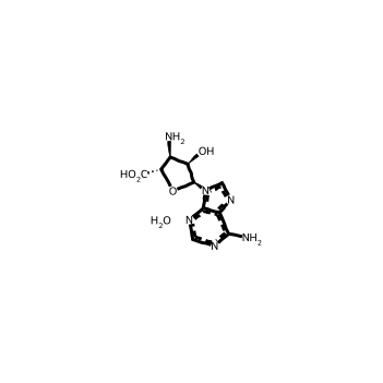 Nc1ncnc2c1ncn2[C@H]1O[C@H](C(=O)O)[C@@H](N)[C@H]1O.O